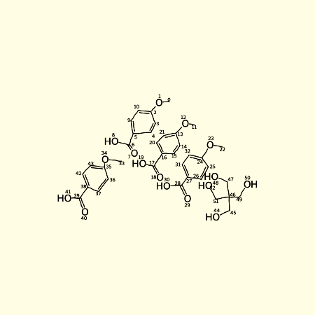 COc1ccc(C(=O)O)cc1.COc1ccc(C(=O)O)cc1.COc1ccc(C(=O)O)cc1.COc1ccc(C(=O)O)cc1.OCC(CO)(CO)CO